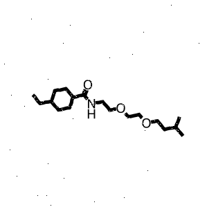 CCC1CCC(C(=O)NCCOCCOCCC(C)C)CC1